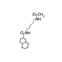 CC(=O)NCCCCCNC(=O)c1ccc2ccccc2c1